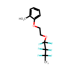 O=C(O)c1ccccc1OCCOC(F)(F)C(F)(F)C(F)(F)C(F)(F)F